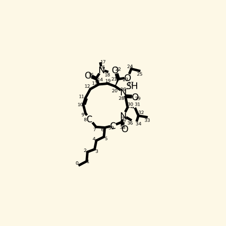 CCCCCCC1CCC/C=C\CC(C(=O)N(C)C)C[C@@H](C(=O)OCC)N(S)C(=O)[C@H](CC(C)C)N(C)C(=O)C1